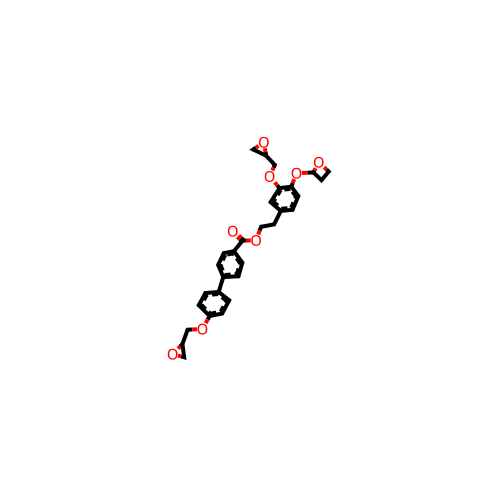 O=C(OCCc1ccc(OC2CCO2)c(OCC2CO2)c1)c1ccc(-c2ccc(OCC3CO3)cc2)cc1